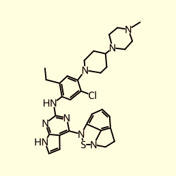 CCc1cc(N2CCC(N3CCN(C)CC3)CC2)c(Cl)cc1Nc1nc(N2SN3CCc4cccc2c43)c2cc[nH]c2n1